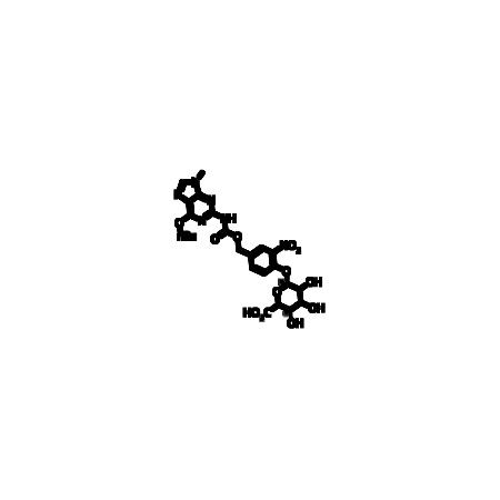 CCCCOc1nc(NC(=O)OCc2ccc(O[C@@H]3OC(C(=O)O)[C@@H](O)C(O)C3O)c([N+](=O)[O-])c2)nc2c1ncn2C